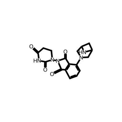 O=C1CCN(N2C(=O)c3cccc(N4CC5CC(C4)N5)c3C2=O)C(=O)N1